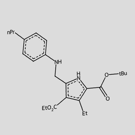 CCCc1ccc(NCc2[nH]c(C(=O)OC(C)(C)C)c(CC)c2C(=O)OCC)cc1